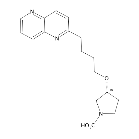 O=C(O)N1CC[C@@H](OCCCCc2ccc3ncccc3n2)C1